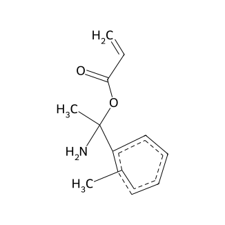 C=CC(=O)OC(C)(N)c1ccccc1C